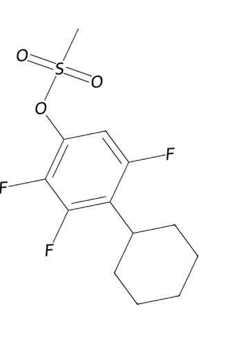 CS(=O)(=O)Oc1cc(F)c(C2CCCCC2)c(F)c1F